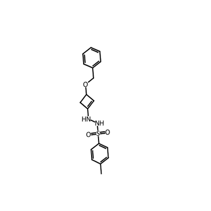 Cc1ccc(S(=O)(=O)NNC2=CC(OCc3ccccc3)C2)cc1